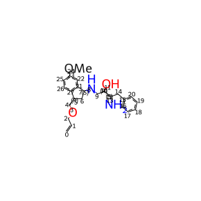 C=CCOC[C@@H]1C[C@H](NC[C@@H](O)[C@@H](N)Cc2ccccc2)c2cc(OC)ccc21